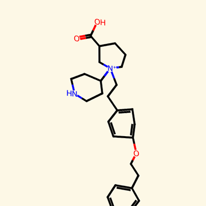 O=C(O)C1CCC[N+](CCc2ccc(OCCc3ccccc3)cc2)(C2CCNCC2)C1